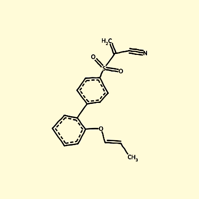 C=C(C#N)S(=O)(=O)c1ccc(-c2ccccc2OC=CC)cc1